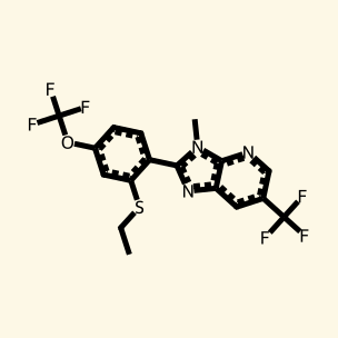 CCSc1cc(OC(F)(F)F)ccc1-c1nc2cc(C(F)(F)F)cnc2n1C